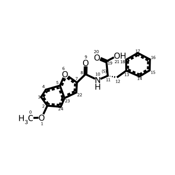 COc1ccc2oc(C(=O)N[C@@H](Cc3ccccc3)C(=O)O)cc2c1